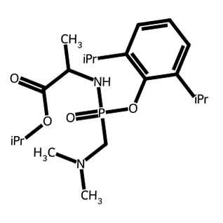 CC(C)OC(=O)C(C)NP(=O)(CN(C)C)Oc1c(C(C)C)cccc1C(C)C